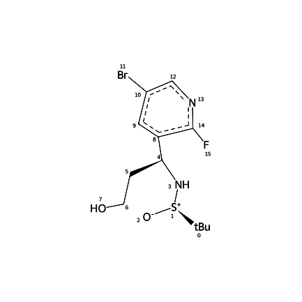 CC(C)(C)[S@@+]([O-])N[C@@H](CCO)c1cc(Br)cnc1F